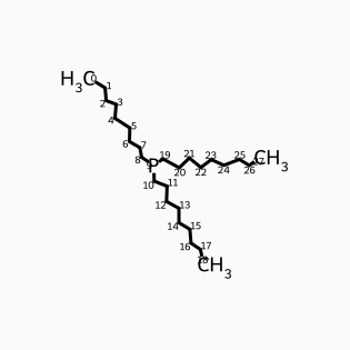 CCCCCCCCCP(CCCCCCCCC)CCCCCCCCC